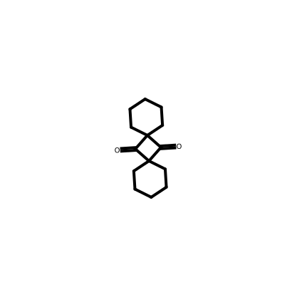 O=C1C2(CCCCC2)C(=O)C12CCCCC2